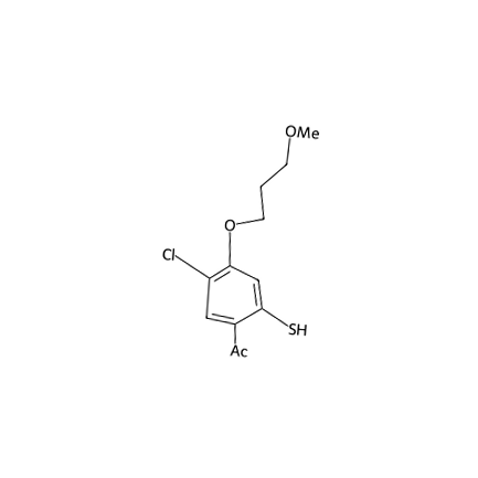 COCCCOc1cc(S)c(C(C)=O)cc1Cl